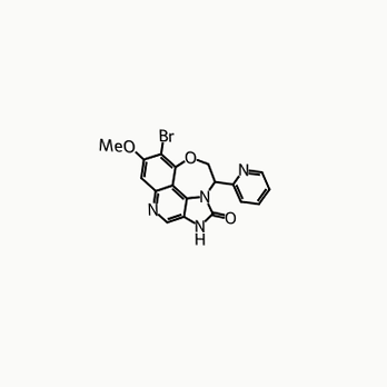 COc1cc2ncc3[nH]c(=O)n4c3c2c(c1Br)OCC4c1ccccn1